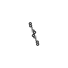 c1ccc2cc(CCc3cc4ccc5c(c4s3)-c3ccc4cc(CCc6ccc7ccccc7c6)sc4c3-5)ccc2c1